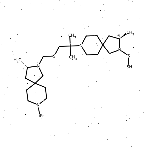 CC(C)N1CCC2(CC1)C[C@H](C)N(CSCC(C)(C)N1CCC3(CC1)C[C@@H](C)N(SS)C3)C2